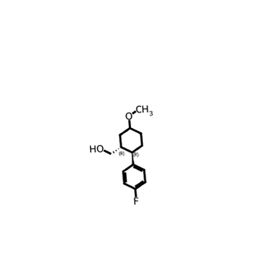 COC1CC[C@@H](c2ccc(F)cc2)[C@H](CO)C1